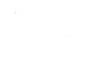 Cc1ccc(-c2ccccc2C(F)(F)F)cc1